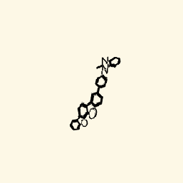 Cc1nc2ccccc2n1-c1ccc(-c2ccc3oc4c(ccc5c6ccccc6oc54)c3c2)cc1